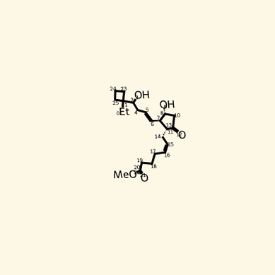 CCC1(C(O)C/C=C/[C@H]2[C@H](O)CC(=O)[C@@H]2C/C=C\CCCC(=O)OC)CCC1